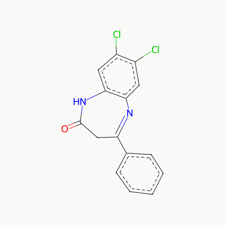 O=C1CC(c2ccccc2)=Nc2cc(Cl)c(Cl)cc2N1